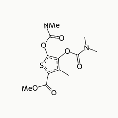 CNC(=O)Oc1sc(C(=O)OC)c(C)c1OC(=O)N(C)C